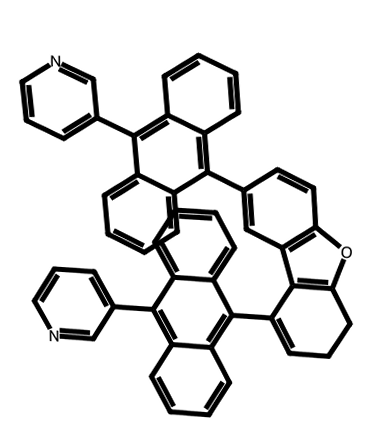 C1=C(c2c3ccccc3c(-c3cccnc3)c3ccccc23)c2c(oc3ccc(-c4c5ccccc5c(-c5cccnc5)c5ccccc45)cc23)CC1